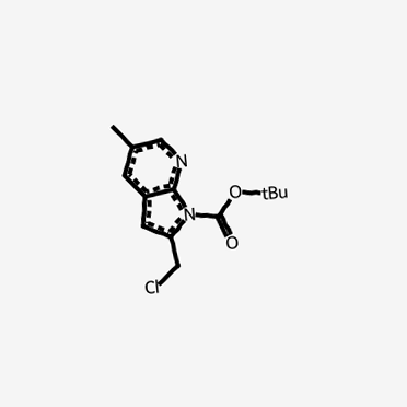 Cc1cnc2c(c1)cc(CCl)n2C(=O)OC(C)(C)C